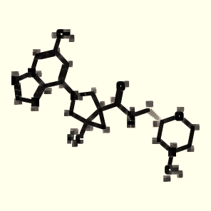 Cc1cc(N2CC3(C(=O)NC[C@H]4CN(C)CCO4)CC3(C(F)(F)F)C2)c2ncnn2c1